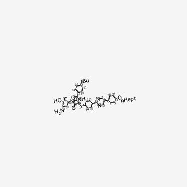 CCCCCCCOc1ccc(-c2cnc(-c3ccc(C[C@H](NC(=O)c4ccc(C(C)(C)C)cc4)C(=O)N[C@H](CCN)C(=O)O)cc3)nc2)cc1